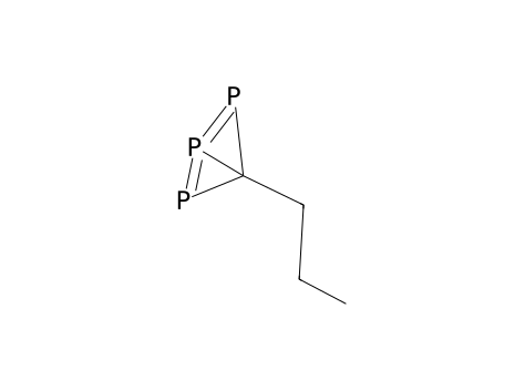 CCCC12P=P1=P2